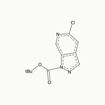 CC(C)(C)OC(=O)n1ncc2cc(Cl)ncc21